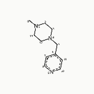 CN1CCN(Cc2ccncc2)CC1